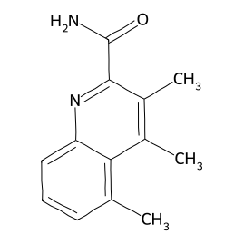 Cc1c(C(N)=O)nc2cccc(C)c2c1C